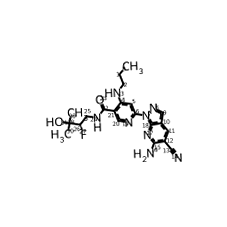 CCCNc1cc(-n2ncc3cc(C#N)c(N)nc32)ncc1C(=O)NC[C@@H](F)C(C)(C)O